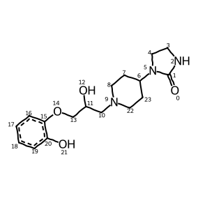 O=C1NCCN1C1CCN(CC(O)COc2ccccc2O)CC1